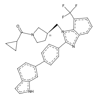 O=C(C1CC1)N1CC[C@H](Cn2c(-c3ccc(-c4ccc5cc[nH]c5c4)cc3)nc3cccc(C(F)(F)F)c32)C1